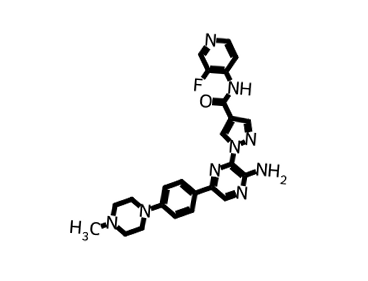 CN1CCN(c2ccc(-c3cnc(N)c(-n4cc(C(=O)Nc5ccncc5F)cn4)n3)cc2)CC1